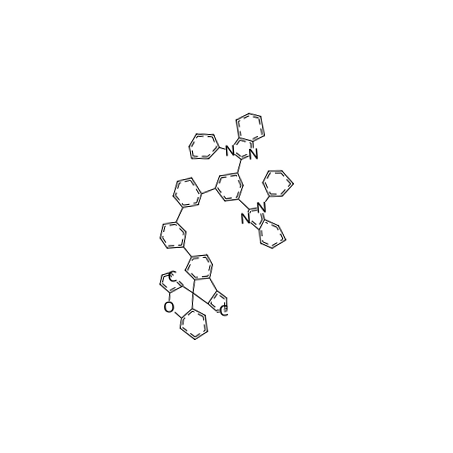 c1ccc(-n2c(-c3cc(-c4cccc(-c5cccc(-c6ccc7c(c6)C6(c8ccccc8Oc8ccccc86)c6ccccc6-7)c5)c4)cc(-c4nc5ccccc5n4-c4ccccc4)c3)nc3ccccc32)cc1